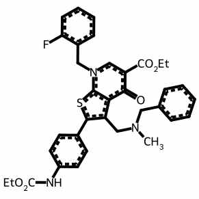 CCOC(=O)Nc1ccc(-c2sc3c(c2CN(C)Cc2ccccc2)c(=O)c(C(=O)OCC)cn3Cc2ccccc2F)cc1